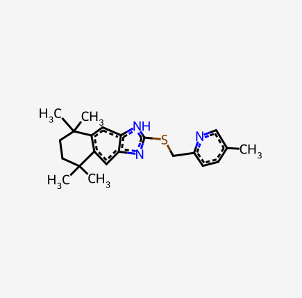 Cc1ccc(CSc2nc3cc4c(cc3[nH]2)C(C)(C)CCC4(C)C)nc1